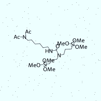 CO[Si](CCCN(CCC[Si](OC)(OC)OC)C(=O)NCCCCCCN(C(C)=O)C(C)=O)(OC)OC